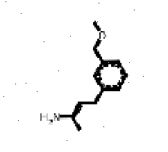 COCc1cccc(C/C=C(\C)N)c1